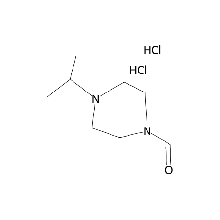 CC(C)N1CCN(C=O)CC1.Cl.Cl